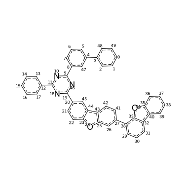 c1ccc(-c2cccc(-c3nc(-c4ccccc4)nc(-c4ccc5oc6cc(-c7cccc8c7oc7ccccc78)ccc6c5c4)n3)c2)cc1